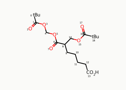 CC(C)(C)C(=O)OCOC(=O)C(CCCCC(=O)O)COC(=O)C(C)(C)C